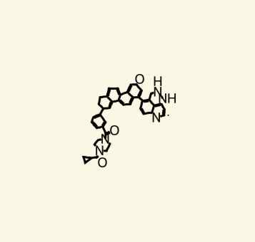 O=C1C=C(c2ccc3n[c]cc4c3c2CNN4)c2ccc3c4c(ccc3c2=C1)CCC(c1cccc(C(=O)N2CCN(C(=O)C3CC3)CC2)c1)C=4